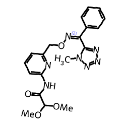 COC(OC)C(=O)Nc1cccc(CO/N=C(/c2ccccc2)c2nnnn2C)n1